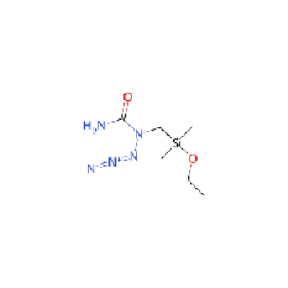 CCO[Si](C)(C)CN(N=[N+]=[N-])C(N)=O